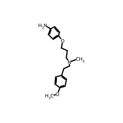 COc1ccc(CCN(C)CCCOc2ccc(N)cc2)cc1